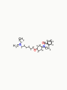 C=CCN(C)CCCCCCO[C@H]1CC[C@H](N(C)C(=O)c2ccccc2)CC1